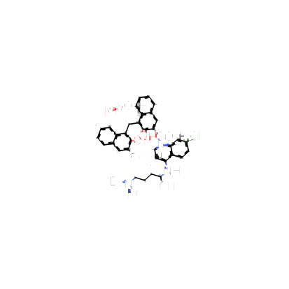 CCN(CC)CCCC(C)Nc1ccnc2cc(Cl)ccc12.O=C(O)c1cc2ccccc2c(Cc2c(O)c(C(=O)O)cc3ccccc23)c1O.O=S(=O)(O)O